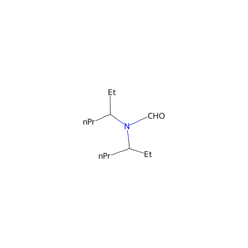 CCCC(CC)N(C=O)C(CC)CCC